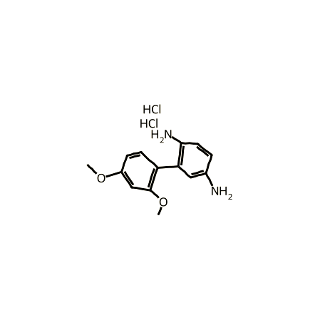 COc1ccc(-c2cc(N)ccc2N)c(OC)c1.Cl.Cl